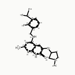 CC(=O)N1CCC(Oc2cc3c(NCc4cccc(C(F)F)c4F)nc(C)nc3[nH]c2=O)C1